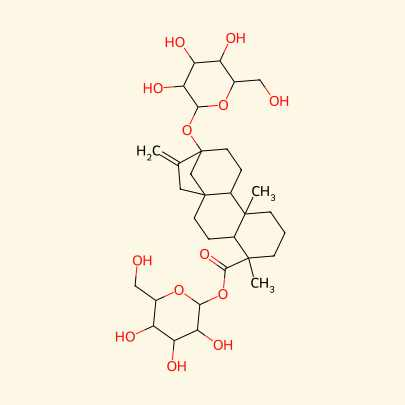 C=C1CC23CCC4C(C)(C(=O)OC5OC(CO)C(O)C(O)C5O)CCCC4(C)C2CCC1(OC1OC(CO)C(O)C(O)C1O)C3